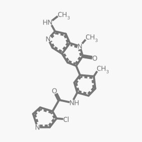 CNc1cc2c(cn1)cc(-c1cc(NC(=O)c3ccncc3Cl)ccc1C)c(=O)n2C